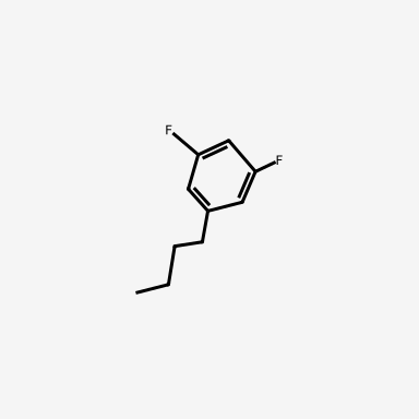 CCCCc1cc(F)cc(F)c1